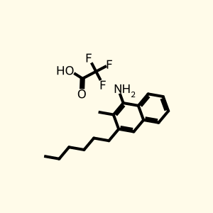 CCCCCCc1cc2ccccc2c(N)c1C.O=C(O)C(F)(F)F